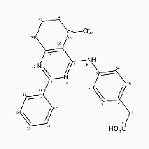 O=C(O)Cc1ccc(Nc2nc(-c3ccccc3)nc3c2[S+]([O-])CCC3)cc1